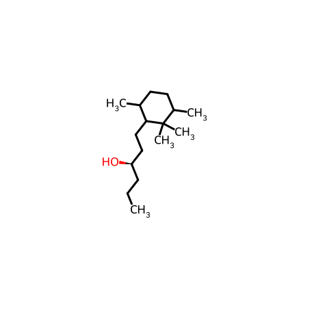 CCC[C@@H](O)CCC1C(C)CCC(C)C1(C)C